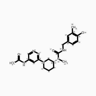 CC(=O)Nc1cnnc(N2CCC[C@@H](N(C)C(=O)NCc3ccc(Cl)c(C)c3)C2)c1